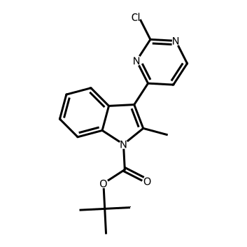 Cc1c(-c2ccnc(Cl)n2)c2ccccc2n1C(=O)OC(C)(C)C